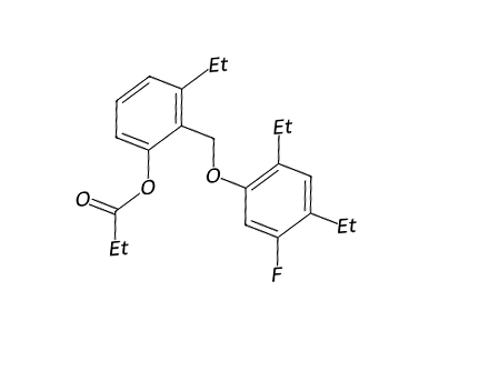 CCC(=O)Oc1cccc(CC)c1COc1cc(F)c(CC)cc1CC